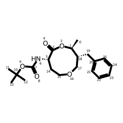 C[C@@H]1OC(=O)[C@@H](NC(=O)OC(C)(C)C)CCOC[C@H]1Cc1ccccc1